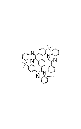 CC(C)(C)c1ccc(-c2nc3ccccc3nc2-c2cc(-c3nc4ccccc4nc3-c3ccc(C(C)(C)C)cc3)cc(-c3nc4ccccc4nc3-c3ccc(C(C)(C)C)cc3)c2)cc1